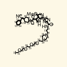 COc1cnc(-n2cnc(C(=O)NCCCN3CCN(CCOCCOCCOCCOCI)CC3)n2)c2[nH]cc(C(=O)C(=O)N3CCC(=C(C#N)c4ccccc4)CC3)c12